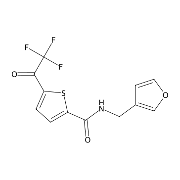 O=C(NCc1ccoc1)c1ccc(C(=O)C(F)(F)F)s1